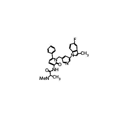 CNC(C)C(=O)Nc1ccc(-c2ccccc2)n(Cc2cncc(-n3cc(C)c4cc(F)ccc43)c2)c1=O